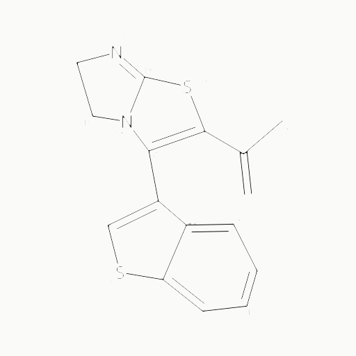 C=C(C)C1=C(c2csc3ccccc23)N2CCN=C2S1